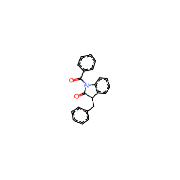 O=C(c1ccccc1)N1C(=O)C(Cc2ccccc2)c2ccccc21